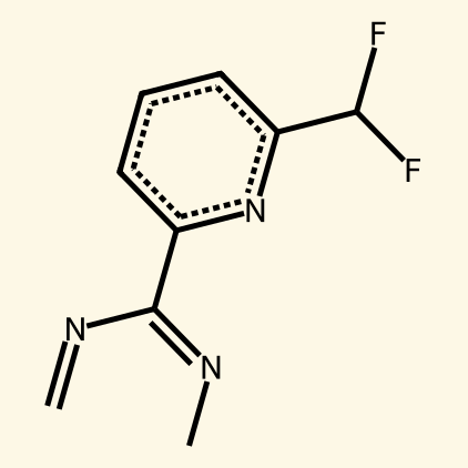 C=N/C(=N\C)c1cccc(C(F)F)n1